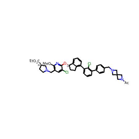 CCOC(=O)[C@@H]1CCN(Cc2cc(Cl)c(O[C@H]3CCc4c(-c5cccc(-c6ccc(CN7CC8(C7)CN(C(C)=O)C8)cc6)c5Cl)cccc43)nc2OC)C1